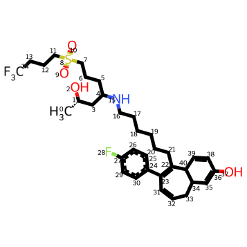 C[C@H](O)CC(CCCS(=O)(=O)CCCC(F)(F)F)NCCCCCCC1=C(c2ccc(F)cc2)C=CCC2C=C(O)C=CC12